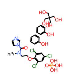 CCCN(CCOc1c(Cl)cc(Cl)cc1Cl)C(=O)n1ccnc1.O=P(O)(O)O.OCC(CO)(CO)CO.Oc1ccccc1.Oc1ccccc1